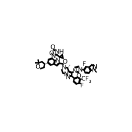 C[C@@H]1c2c(-n3ccn(-c4ccc5c(cnn5C)c4F)c3=O)c(-c3ccc(F)c(C(F)(F)F)c3)nn2CCN1C(=O)c1cc2cc([C@@H]3CCOC(C)(C)C3)ccc2n1C1(c2noc(=O)[nH]2)CC1